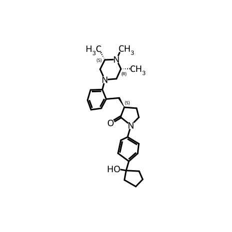 C[C@@H]1CN(c2ccccc2C[C@H]2CCN(c3ccc(C4(O)CCCC4)cc3)C2=O)C[C@H](C)N1C